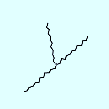 CCCCCCCCCCCCB(CCCCCCCCCCCC)CCCCCCCCCCCC